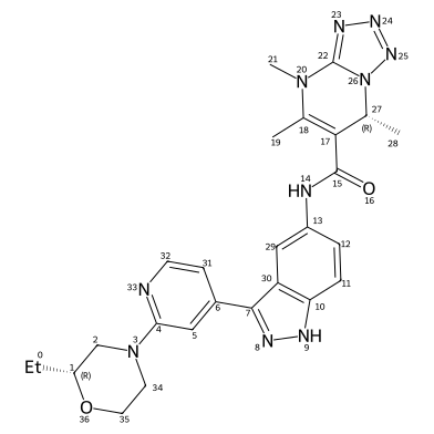 CC[C@@H]1CN(c2cc(-c3n[nH]c4ccc(NC(=O)C5=C(C)N(C)c6nnnn6[C@@H]5C)cc34)ccn2)CCO1